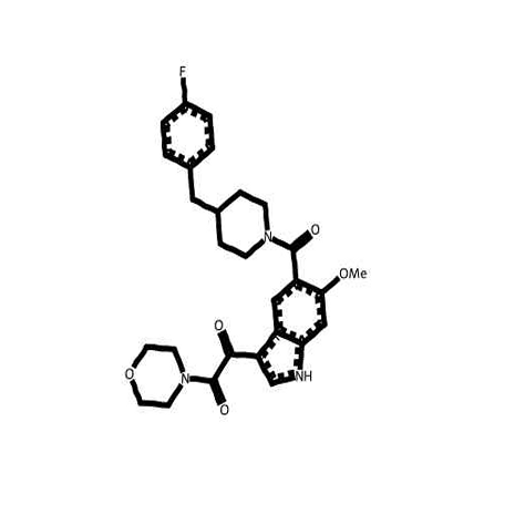 COc1cc2[nH]cc(C(=O)C(=O)N3CCOCC3)c2cc1C(=O)N1CCC(Cc2ccc(F)cc2)CC1